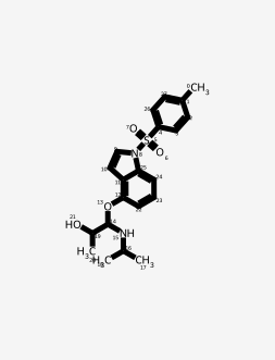 Cc1ccc(S(=O)(=O)n2ccc3c(OC(NC(C)C)C(C)O)cccc32)cc1